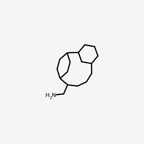 NCC1CCCC2CCCC(C2)C2CCC1CC2